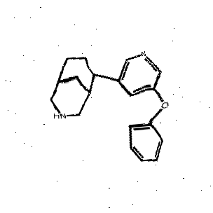 c1ccc(Oc2cncc(C3CCC4CNCC3C4)c2)cc1